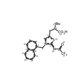 CC(C)(C)N(Cc1cn(Cc2cccc3ccccc23)/c(=N/C(=O)C(F)(F)F)s1)C(=O)O